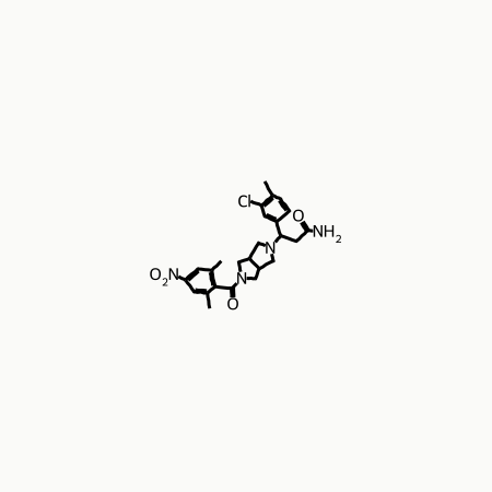 Cc1ccc(C(CC(N)=O)N2CC3CN(C(=O)c4c(C)cc([N+](=O)[O-])cc4C)CC3C2)cc1Cl